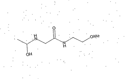 COCCNC(=O)CNC(C)O